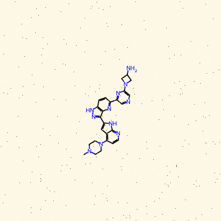 CN1CCN(c2ccnc3[nH]c(-c4n[nH]c5ccc(-c6cncc(N7CC(N)C7)n6)nc45)cc23)CC1